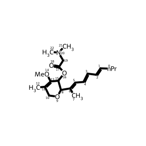 CCCC=CC=CC=C(C)C1OCC(C)=C(OC)C1OC(=O)CN(C)C